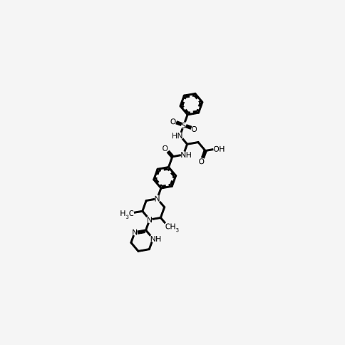 CC1CN(c2ccc(C(=O)NC(CC(=O)O)NS(=O)(=O)c3ccccc3)cc2)CC(C)N1C1=NCCCN1